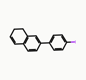 Ic1ccc(-c2ccc3c(c2)CCC=C3)cc1